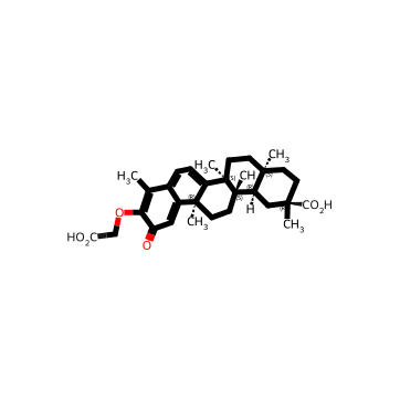 CC1=C(OCC(=O)O)C(=O)C=C2C1=CC=C1[C@@]2(C)CC[C@@]2(C)[C@@H]3C[C@](C)(C(=O)O)CC[C@]3(C)CC[C@]12C